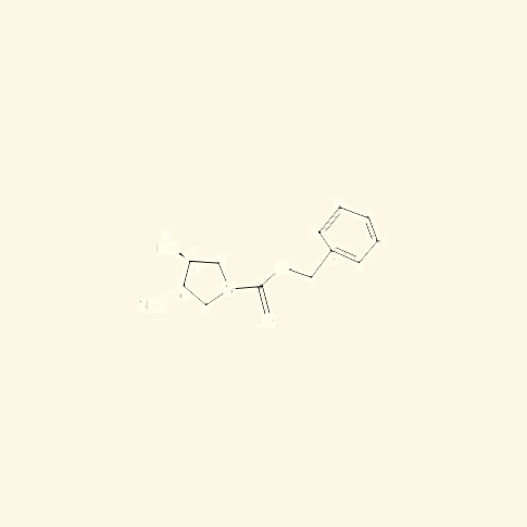 N#C[C@H]1CN(C(=O)OCc2ccccc2)C[C@@H]1O